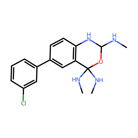 CNC1Nc2ccc(-c3cccc(Cl)c3)cc2C(NC)(NC)O1